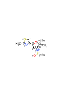 Cc1nc([C@H](CN[S+]([O-])C(C)(C)C)O[Si](C)(C)C(C)(C)C)cs1